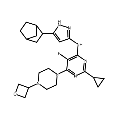 Fc1c(Nc2cc(C3CC4CCC3C4)[nH]n2)nc(C2CC2)nc1N1CCN(C2COC2)CC1